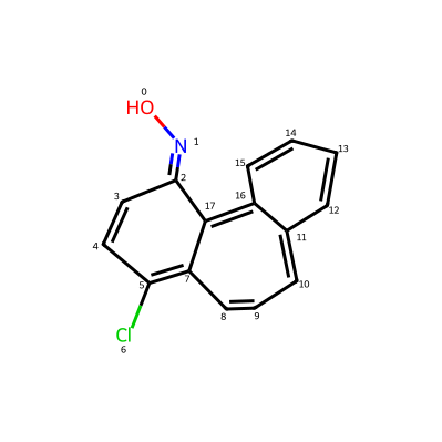 ON=c1ccc(Cl)c2cccc3ccccc3c1-2